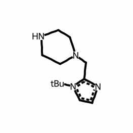 CC(C)(C)n1ccnc1CN1CCNCC1